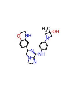 CC1(O)CN(c2ccc(NC3=NC(c4ccc5c(c4)NCCO5)CN4CCN=C34)cc2)C1